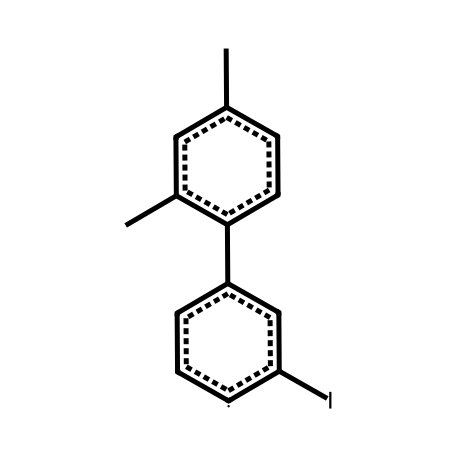 Cc1ccc(-c2cc[c]c(I)c2)c(C)c1